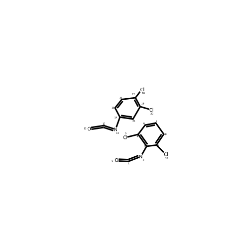 O=C=Nc1c(Cl)cccc1Cl.O=C=Nc1ccc(Cl)c(Cl)c1